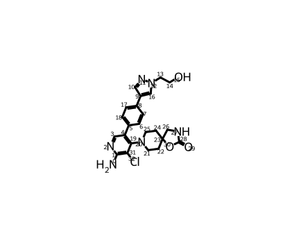 Nc1ncc(-c2ccc(-c3cnn(CCO)c3)cc2)c(N2CCC3(CC2)CNC(=O)O3)c1Cl